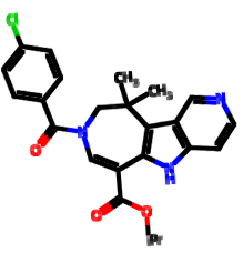 CC(C)OC(=O)C1=CN(C(=O)c2ccc(Cl)cc2)CC(C)(C)c2c1[nH]c1ccncc21